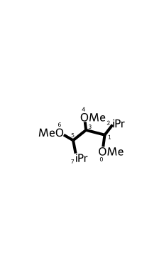 COC(C(C)C)C(OC)C(OC)C(C)C